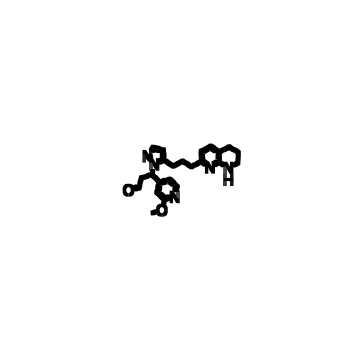 COc1cc(C(CC=O)n2nccc2CCCc2ccc3c(n2)NCCC3)ccn1